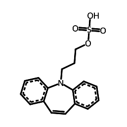 O=S(=O)(O)OCCCN1c2ccccc2C=Cc2ccccc21